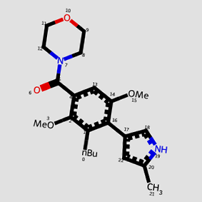 CCCCc1c(OC)c(C(=O)N2CCOCC2)cc(OC)c1-c1c[nH]c(C)c1